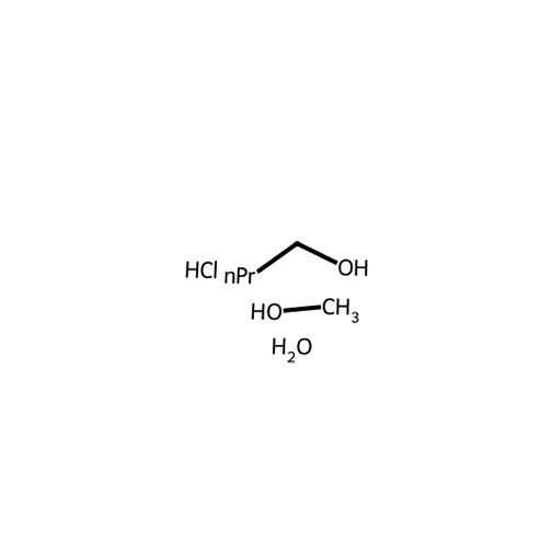 CCCCO.CO.Cl.O